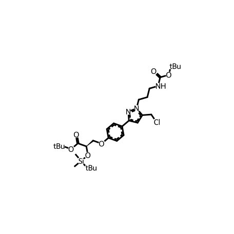 CC(C)(C)OC(=O)NCCCn1nc(-c2ccc(OC[C@@H](O[Si](C)(C)C(C)(C)C)C(=O)OC(C)(C)C)cc2)cc1CCl